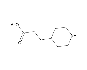 CC(=O)OC(=O)CCC1CCNCC1